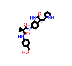 O=C1Nc2cc(NC(=O)C3(C(=O)Nc4ccc(CO)cc4)CC3)ccc2/C1=C/c1ccc[nH]1